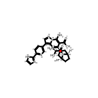 CC(=O)c1c([C@H]2C[C@H]3CC[C@@H](C2)N3C(=O)[C@H](C)O)nc2c(-c3ccc(-c4ncc[nH]4)nc3)cnn2c1N